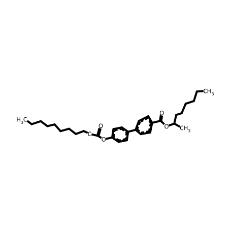 CCCCCCCCCCC(=O)Oc1ccc(-c2ccc(C(=O)OC(C)CCCCCC)cc2)cc1